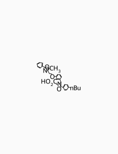 CCCCc1ccc(C(=O)N(CC(=O)O)Cc2cccc(OCCc3nc(-c4ccccc4)oc3C)c2)cc1